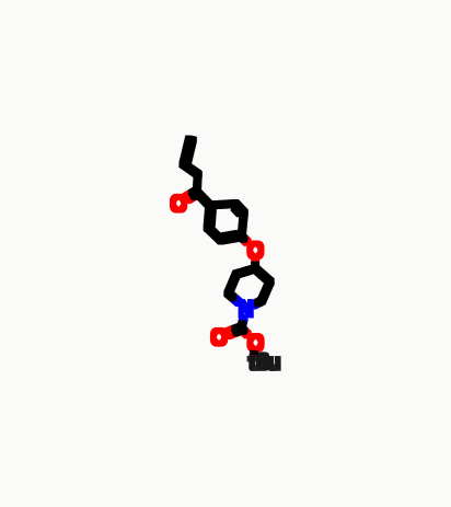 C=CCC(=O)c1ccc(OC2CCN(C(=O)OC(C)(C)C)CC2)cc1